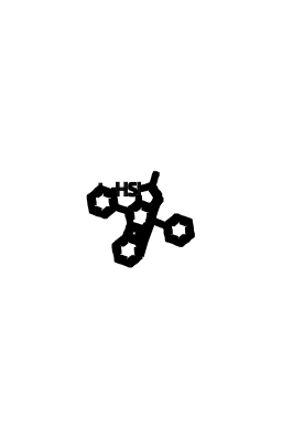 CC1=c2c3c(c(-c4[c][c]ccc4)c4c5cccc2c5c4c3-c2ccccc2)[SiH]1